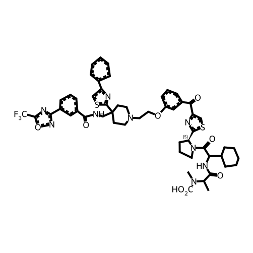 CC(C(=O)NC(C(=O)N1CCC[C@H]1c1nc(C(=O)c2cccc(OCCN3CCC(CNC(=O)c4cccc(-c5noc(C(F)(F)F)n5)c4)(c4nc(-c5ccccc5)cs4)CC3)c2)cs1)C1CCCCC1)N(C)C(=O)O